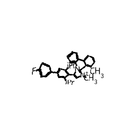 Cc1cccc2c3ccccc3n3c(-c4c(C(C)C)cc(-c5ccc(F)cc5)cc4C(C)C)c[n+](C)c3c12